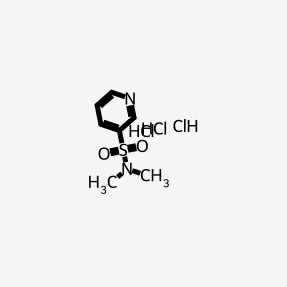 CN(C)S(=O)(=O)c1cccnc1.Cl.Cl.Cl